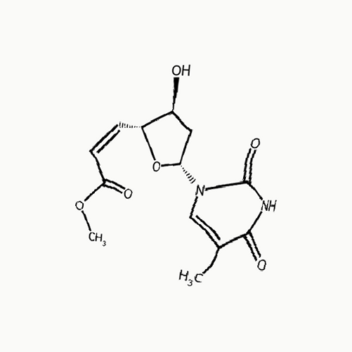 COC(=O)/C=C\[C@H]1O[C@@H](n2cc(C)c(=O)[nH]c2=O)C[C@@H]1O